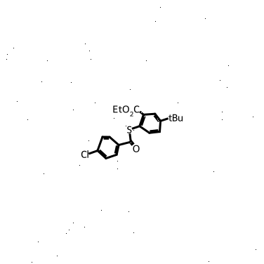 CCOC(=O)c1cc(C(C)(C)C)ccc1SC(=O)c1ccc(Cl)cc1